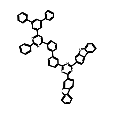 c1ccc(-c2cc(-c3ccccc3)cc(-c3cc(-c4cccc(-c5cccc(-c6nc(-c7ccc8c(c7)oc7ccccc78)nc(-c7ccc8c(c7)oc7ccccc78)n6)c5)c4)nc(-c4ccccc4)n3)c2)cc1